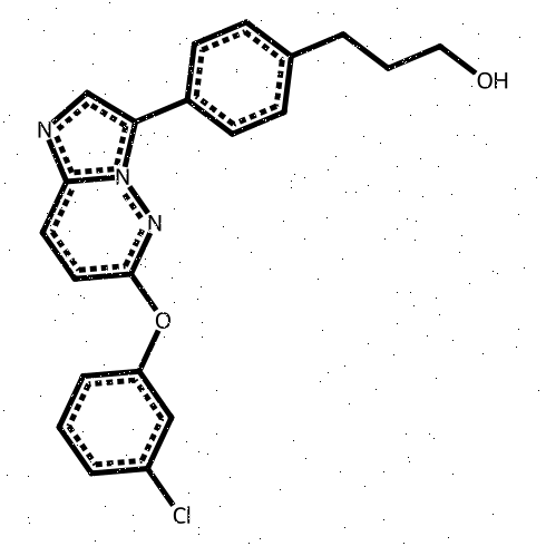 OCCCc1ccc(-c2cnc3ccc(Oc4cccc(Cl)c4)nn23)cc1